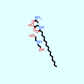 CCCCCCCCCCCCCCCC(=O)N[C@@H](CC(N)=O)C(=O)O.OCCNCCO